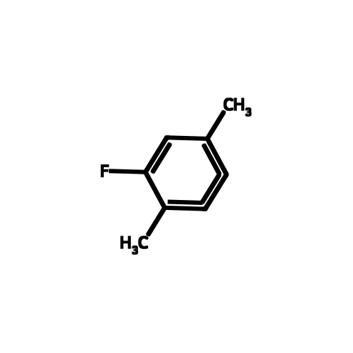 CC1=C=C=C(C)C(F)=C1